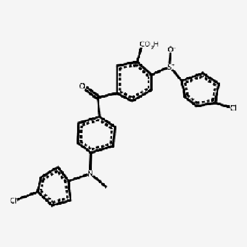 CN(c1ccc(Cl)cc1)c1ccc(C(=O)c2ccc([S+]([O-])c3ccc(Cl)cc3)c(C(=O)O)c2)cc1